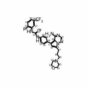 Nc1ncnn2c(CCCN3CCOCC3)cc(-c3ccc(NC(=O)Nc4cc(C(F)(F)F)ccc4F)cc3)c12